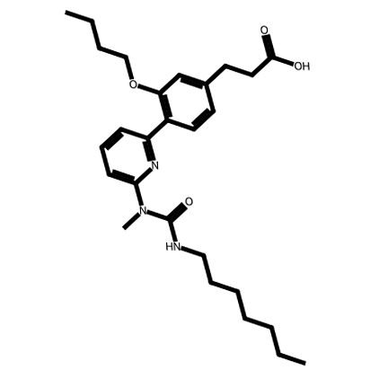 CCCCCCCNC(=O)N(C)c1cccc(-c2ccc(CCC(=O)O)cc2OCCCC)n1